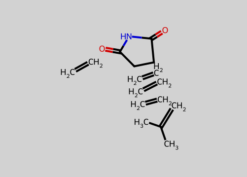 C=C.C=C.C=C.C=C.C=C(C)C.O=C1CCC(=O)N1